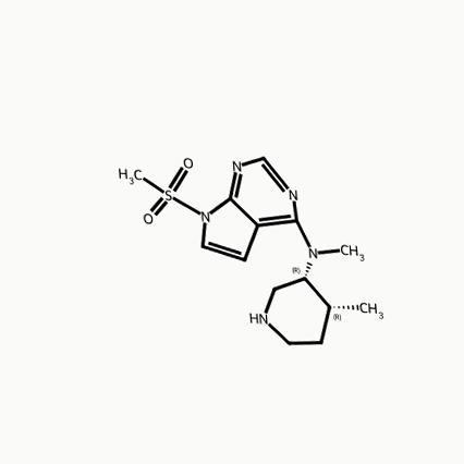 C[C@@H]1CCNC[C@@H]1N(C)c1ncnc2c1ccn2S(C)(=O)=O